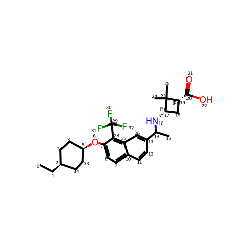 CC[C@H]1CC[C@@H](Oc2ccc3ccc(C(C)N[C@H]4C[C@@H](C(=O)O)C4(C)C)cc3c2C(F)(F)F)CC1